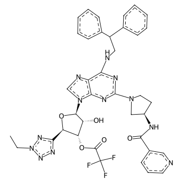 CCn1nnc([C@H]2O[C@@H](n3cnc4c(NCC(c5ccccc5)c5ccccc5)nc(N5CC[C@@H](NC(=O)c6cccnc6)C5)nc43)[C@H](O)[C@@H]2OC(=O)C(F)(F)F)n1